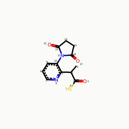 CC(C(=O)S)c1ncccc1N1C(=O)CCC1=O